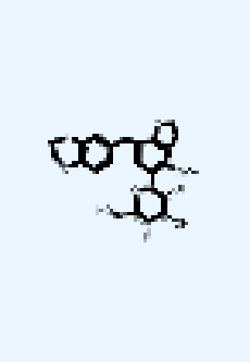 COc1c([C@@H]2O[C@H](CO)[C@@H](F)[C@H](O)[C@H]2O)cc(Cc2ccc3c(c2)SCCO3)c2c1CCO2